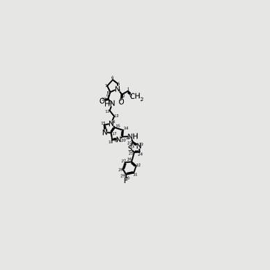 C=CC(=O)N1CCCC1C(=O)NCCn1cnc2cnc(Nc3ncc(-c4ccc(F)cc4)s3)cc21